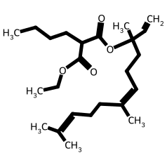 C=CC(C)(CCC=C(C)CCC=C(C)C)OC(=O)C(CCCC)C(=O)OCC